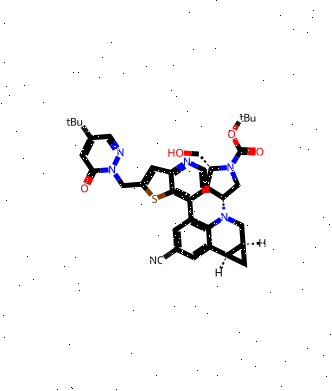 CC(C)(C)OC(=O)N1C[C@H](N2C[C@H]3C[C@H]3c3cc(C#N)cc(-c4ccnc5cc(Cn6ncc(C(C)(C)C)cc6=O)sc45)c32)C[C@@H]1CO